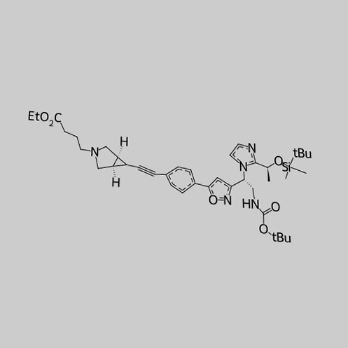 CCOC(=O)CCCN1C[C@@H]2C(C#Cc3ccc(-c4cc([C@@H](CNC(=O)OC(C)(C)C)n5ccnc5[C@H](C)O[Si](C)(C)C(C)(C)C)no4)cc3)[C@@H]2C1